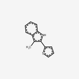 Cc1c(-c2cccs2)[nH]c2ccccc12